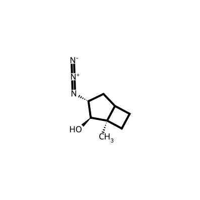 C[C@@]12CCC1C[C@@H](N=[N+]=[N-])[C@@H]2O